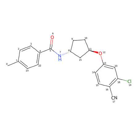 Cc1ccc(C(=O)N[C@@H]2CC[C@@H](Oc3ccc(C#N)c(Cl)c3)C2)cc1